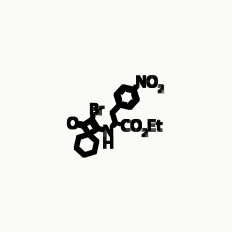 CCOC(=O)[C@H](Cc1ccc([N+](=O)[O-])cc1)NC1=C(Br)C(=O)C12CCCCC2